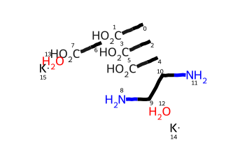 CC(=O)O.CC(=O)O.CC(=O)O.CC(=O)O.NCCN.O.O.[K].[K]